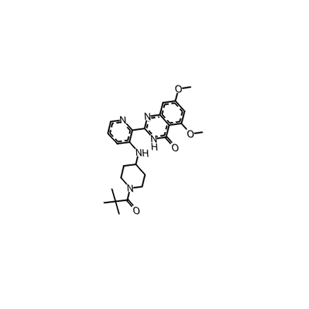 COc1cc(OC)c2c(=O)[nH]c(-c3ncccc3NC3CCN(C(=O)C(C)(C)C)CC3)nc2c1